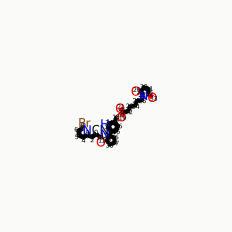 N#C/C(=C\c1cccc(Br)n1)C(=O)NC1(c2ccc(COC(=O)CCCCCN3C(=O)C=CC3=O)cc2)CCCC1